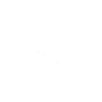 NC(=O)C1CCNCC1.O=CO